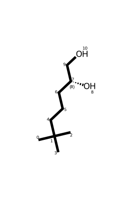 CC(C)(C)CCC[C@@H](O)CO